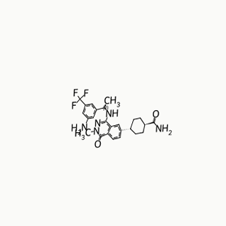 C[C@@H](Nc1nn(C)c(=O)c2ccc([C@H]3CC[C@H](C(N)=O)CC3)cc12)c1cc(N)cc(C(F)(F)F)c1